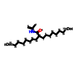 C=C(C)NC(=O)C(CCCCCCCCCCCCCCCCC)CCCCCCCCCCCCCCCCC